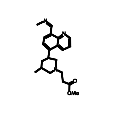 C/N=C\c1ccc(C2CC(C)CN(CCC(=O)OC)C2)c2cccnc12